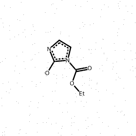 CCOC(=O)n1ccnc1[O]